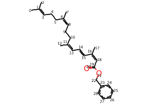 CC(C)=CCCC(C)=CCCC(C)=CC=CC(C)=CC(=O)OCc1ccccc1